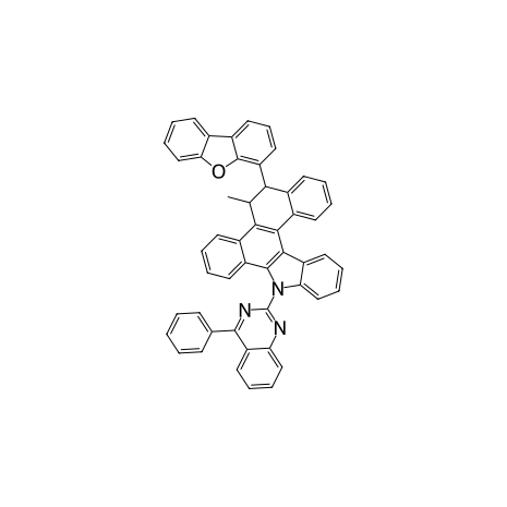 CC1c2c(c3c4ccccc4n(-c4nc(-c5ccccc5)c5ccccc5n4)c3c3ccccc23)-c2ccccc2C1c1cccc2c1oc1ccccc12